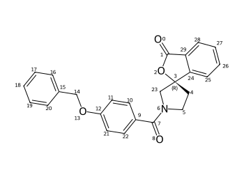 O=C1O[C@]2(CCN(C(=O)c3ccc(OCc4ccccc4)cc3)C2)c2ccccc21